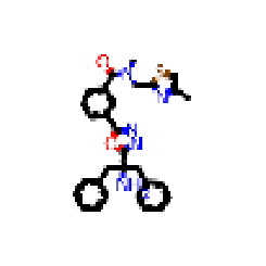 Cc1csc(CN(C)C(=O)c2cccc(-c3nnc(C(N)(Cc4ccccc4)Cc4ccccc4)o3)c2)n1